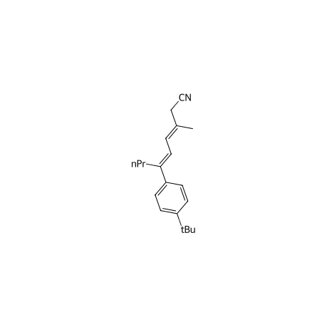 CCC/C(=C\C=C(/C)CC#N)c1ccc(C(C)(C)C)cc1